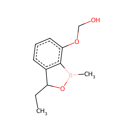 CCC1OB(C)c2c(OCO)cccc21